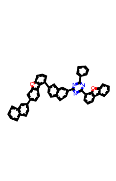 c1ccc(-c2nc(-c3ccc4ccc(-c5cccc6oc7cc(-c8ccc9ccccc9c8)ccc7c56)cc4c3)nc(-c3cccc4c3oc3ccccc34)n2)cc1